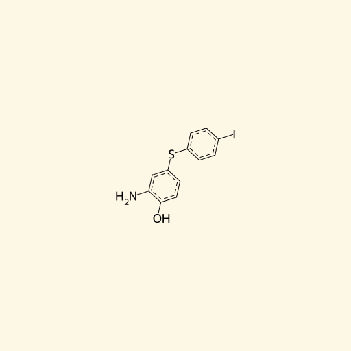 Nc1cc(Sc2ccc(I)cc2)ccc1O